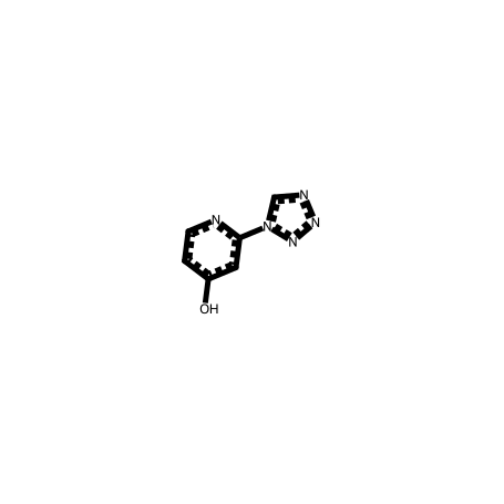 Oc1ccnc(-n2cnnn2)c1